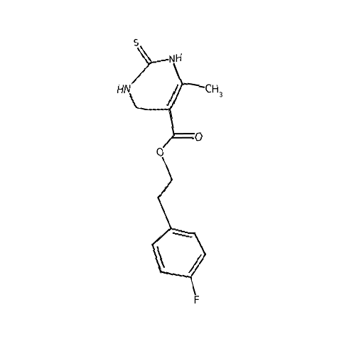 CC1=C(C(=O)OCCc2ccc(F)cc2)CNC(=S)N1